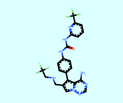 Nc1ncnn2cc(CNCC(F)(F)F)c(-c3ccc(NC(=O)Nc4cccc(C(F)(F)F)n4)cc3)c12